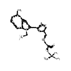 CCn1c(-c2noc(CNC(=O)OC(C)(C)C)n2)cc2c(N)cccc21